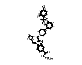 CNNC(=O)c1ccc2c(c1)nc(CN1CCC(c3cccc4c3OC(C)(c3ccc(Cl)cc3F)O4)CC1)n2CC1CCO1